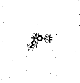 Cn1nc(C(C)(O)c2ccc(B3OC(C)(C)C(C)(C)O3)cc2)cc1C(F)(F)F